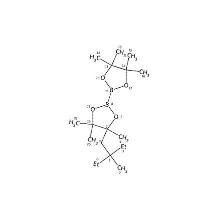 CCC(C)(CC)CC1(C)OB(B2OC(C)(C)C(C)(C)O2)OC1(C)C